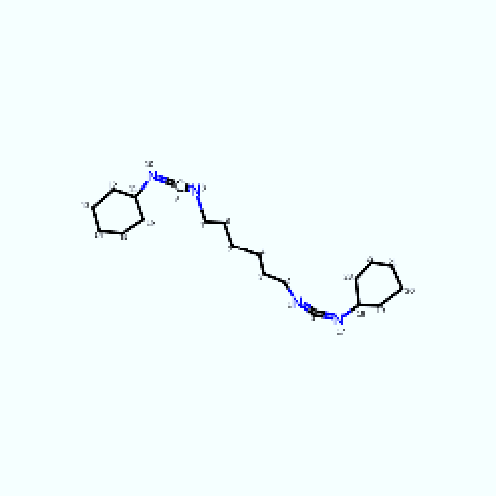 C(=NCCCCCCN=C=NC1CCCCC1)=NC1CCCCC1